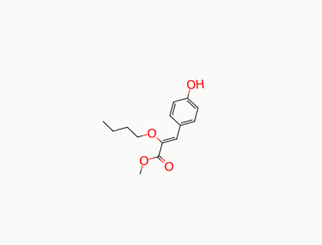 CCCCOC(=Cc1ccc(O)cc1)C(=O)OC